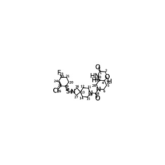 O=C1CO[C@H]2CCN(C(=O)N3CCC4(CC3)CN(SC3CCC(F)C=C3Cl)C4)C[C@H]2N1